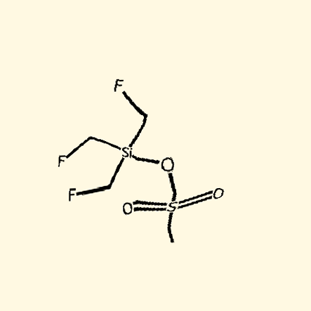 CS(=O)(=O)O[Si](CF)(CF)CF